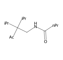 CCCC(=O)NCC(C(C)=O)(C(C)C)C(C)C